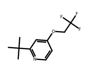 CC(C)(C)c1cc(OCC(F)(F)F)ccn1